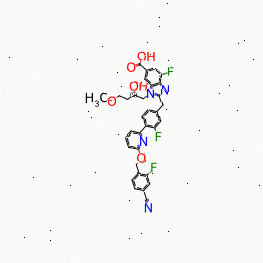 COCC[C@H](O)Cn1c(Cc2ccc(-c3cccc(OCc4ccc(C#N)cc4F)n3)c(F)c2)nc2c(F)cc(C(=O)O)cc21